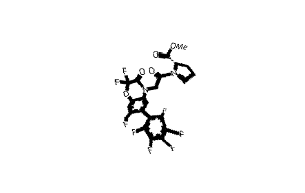 COC(=O)[C@@H]1CCCN1C(=O)CN1C(=O)C(F)(F)Oc2cc(F)c(-c3c(F)c(F)c(F)c(F)c3F)cc21